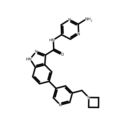 Nc1ncc(NC(=O)c2n[nH]c3ccc(-c4cncc(CN5CCC5)c4)cc23)cn1